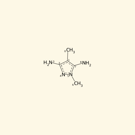 Cc1c(N)nn(C)c1N